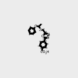 CC(Oc1ccccc1)SCc1nnc(-c2ccc(C(=O)O)cc2)o1